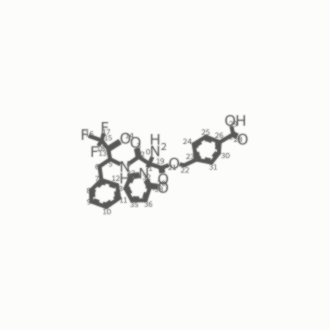 NC(C(=O)NC(Cc1ccccc1)C(=O)C(F)(F)F)(C(=O)OCc1ccc(C(=O)O)cc1)n1ccccc1=O